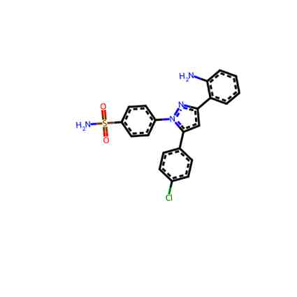 Nc1ccccc1-c1cc(-c2ccc(Cl)cc2)n(-c2ccc(S(N)(=O)=O)cc2)n1